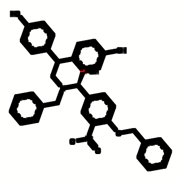 O=[N+]([O-])c1cc([C@H](CO)N(Cc2ccccc2)CC(c2ccc(O)cc2)c2ccc(O)cc2)ccc1OCc1ccccc1